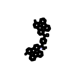 C/N=C(\c1ccc(C(=O)c2ccc3c(c2)C2(c4ccccc4-c4ccccc42)c2cc(C)ccc2-3)cc1)c1ccc2c(c1)C1(c3ccccc3-c3ccccc31)c1cc(C)ccc1-2